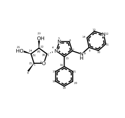 C[C@@H]1O[C@@H](n2ncc(Nc3ccncc3)c2-c2ccccc2)[C@H](O)[C@@H]1O